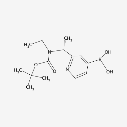 CCN(C(=O)OC(C)(C)C)[C@H](C)c1cc(B(O)O)ccn1